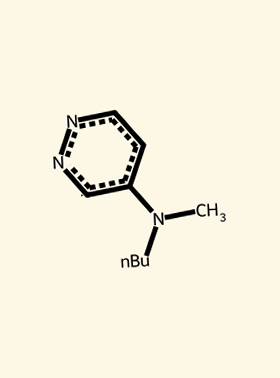 CCCCN(C)c1[c]nncc1